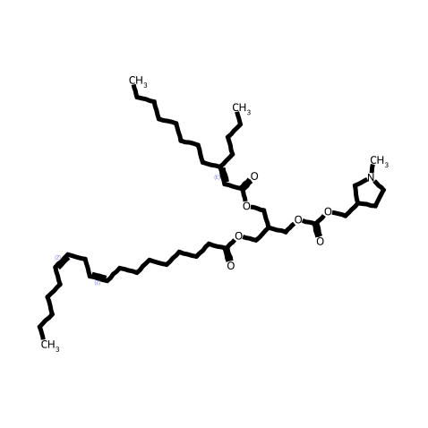 CCCCC/C=C\C/C=C\CCCCCCCC(=O)OCC(COC(=O)/C=C(\CCCC)CCCCCCCC)COC(=O)OCC1CCN(C)C1